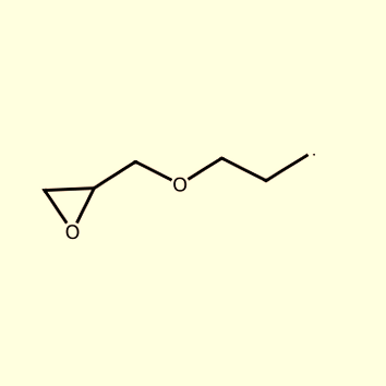 [CH2]CCOCC1CO1